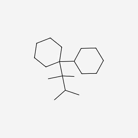 CC(C)C(C)(C)C1(C2CCCCC2)CCCCC1